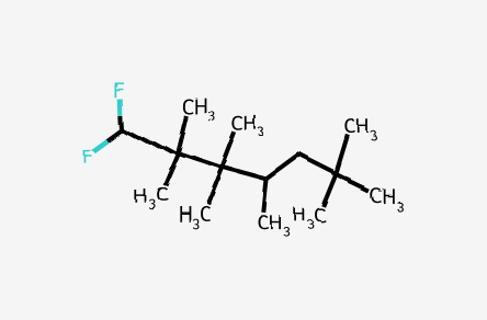 CC(CC(C)(C)C)C(C)(C)C(C)(C)C(F)F